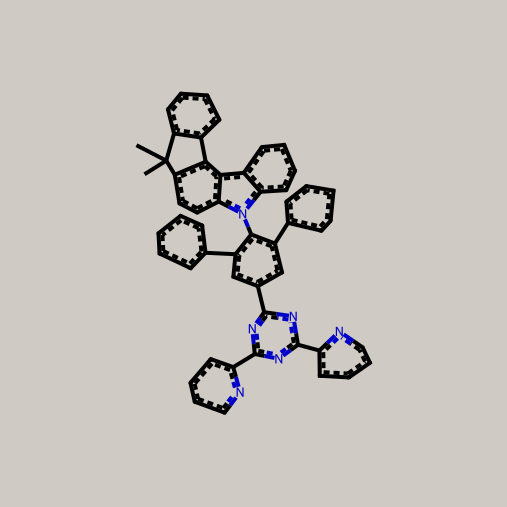 CC1(C)c2ccccc2-c2c1ccc1c2c2ccccc2n1-c1c(-c2ccccc2)cc(-c2nc(-c3ccccn3)nc(-c3ccccn3)n2)cc1-c1ccccc1